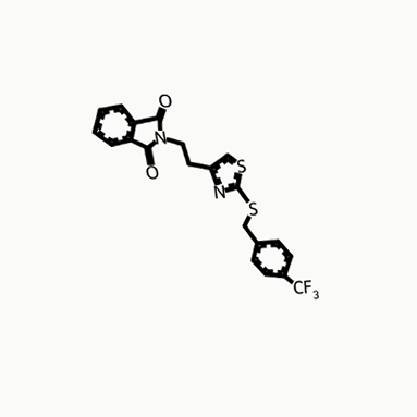 O=C1c2ccccc2C(=O)N1CCc1csc(SCc2ccc(C(F)(F)F)cc2)n1